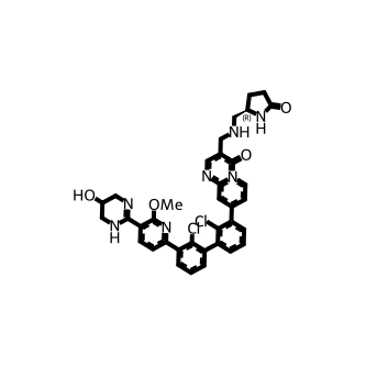 COc1nc(-c2cccc(-c3cccc(-c4ccn5c(=O)c(CNC[C@H]6CCC(=O)N6)cnc5c4)c3Cl)c2Cl)ccc1C1=NCC(O)CN1